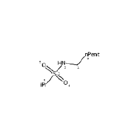 CCCCCCNS(=O)(=O)C(C)C